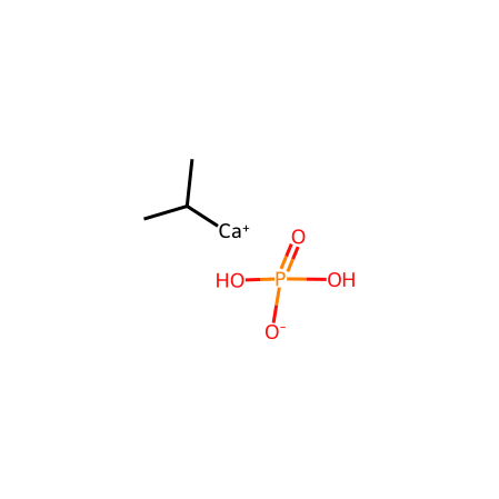 C[CH](C)[Ca+].O=P([O-])(O)O